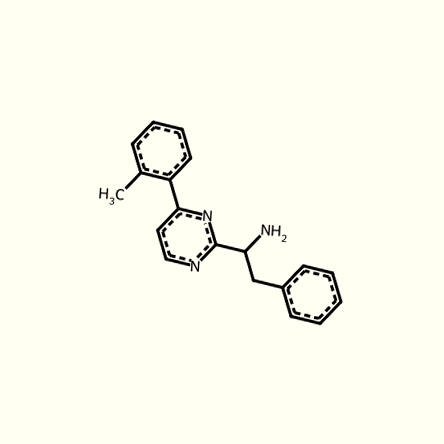 Cc1ccccc1-c1ccnc(C(N)Cc2ccccc2)n1